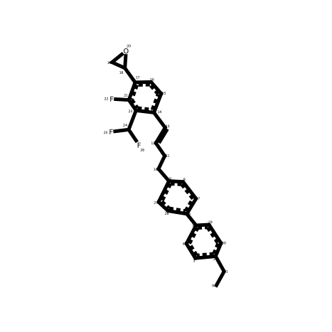 CCc1ccc(-c2ccc(CC/C=C/c3ccc(C4CO4)c(F)c3C(F)F)cc2)cc1